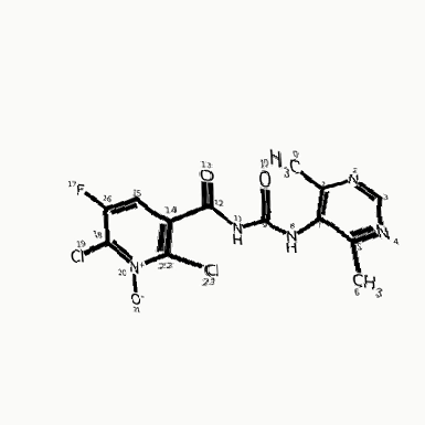 Cc1ncnc(C)c1NC(=O)NC(=O)c1cc(F)c(Cl)[n+]([O-])c1Cl